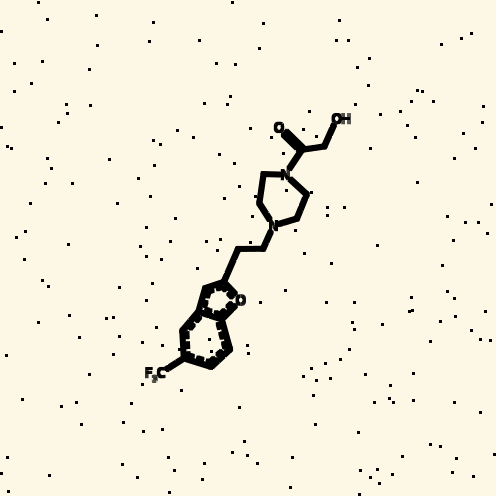 O=C(CO)N1CCN(CCc2cc3cc(C(F)(F)F)ccc3o2)CC1